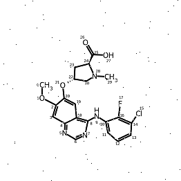 COc1cc2ncnc(Nc3cccc(Cl)c3F)c2cc1O[C@@H]1C[C@@H](C(=O)O)N(C)C1